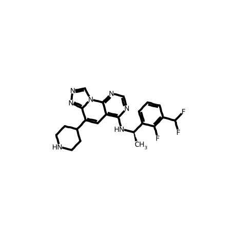 C[C@@H](Nc1ncnc2c1cc(C1CCNCC1)c1nncn12)c1cccc(C(F)F)c1F